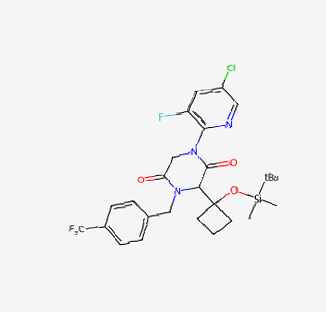 CC(C)(C)[Si](C)(C)OC1(C2C(=O)N(c3ncc(Cl)cc3F)CC(=O)N2Cc2ccc(C(F)(F)F)cc2)CCC1